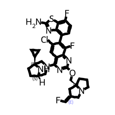 Nc1nc2c(-c3c(Cl)cc4c(N5C[C@@H]6CC[C@](C7CC7)(C5)N6)nc(OC[C@@]56CCCN5C/C(=C/F)C6)nc4c3F)ccc(F)c2s1